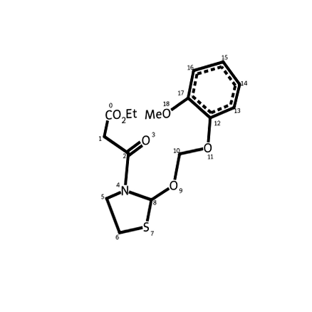 CCOC(=O)CC(=O)N1CCSC1OCOc1ccccc1OC